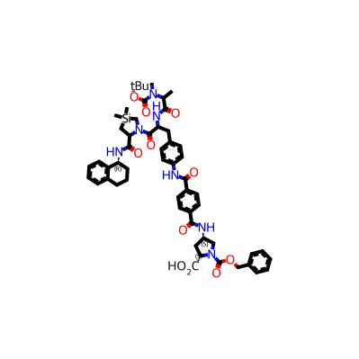 CC(C(=O)NC(Cc1ccc(NC(=O)c2ccc(C(=O)N[C@H]3C[C@@H](C(=O)O)N(C(=O)OCc4ccccc4)C3)cc2)cc1)C(=O)N1C[Si](C)(C)CC1C(=O)N[C@@H]1CCCc2ccccc21)N(C)C(=O)OC(C)(C)C